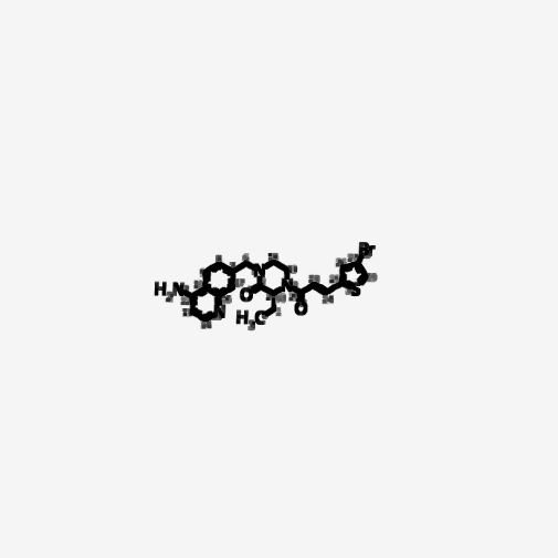 CC[C@H]1C(=O)N(Cc2ccc3c(N)ccnc3c2)CCN1C(=O)C=Cc1cc(Br)cs1